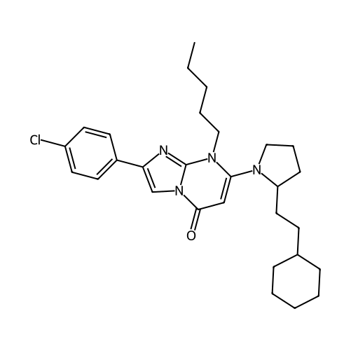 CCCCCn1c(N2CCCC2CCC2CCCCC2)cc(=O)n2cc(-c3ccc(Cl)cc3)nc12